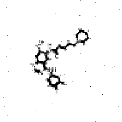 CCOc1cc2ncnc(Nc3ccc(F)c(Cl)c3)c2cc1NC(=O)C=CCCN1CCCCC1